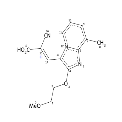 COCCOc1nc2c(C)cccn2c1/C=C(\C#N)C(=O)O